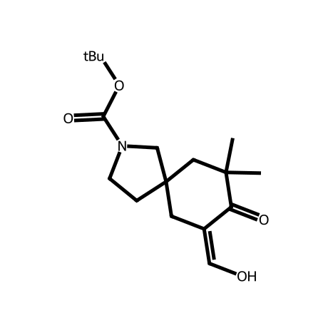 CC(C)(C)OC(=O)N1CCC2(C/C(=C/O)C(=O)C(C)(C)C2)C1